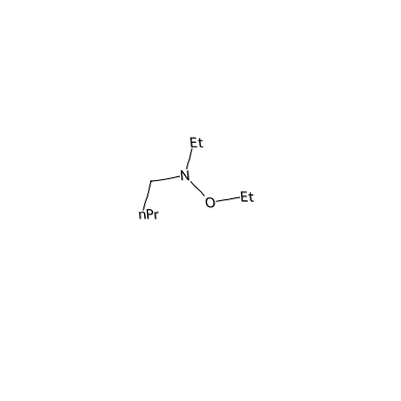 CCCCN(CC)OCC